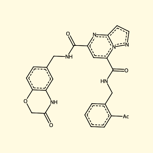 CC(=O)c1ccccc1CNC(=O)c1cc(C(=O)NCc2ccc3c(c2)NC(=O)CO3)nc2ccnn12